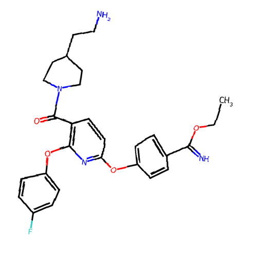 CCOC(=N)c1ccc(Oc2ccc(C(=O)N3CCC(CCN)CC3)c(Oc3ccc(F)cc3)n2)cc1